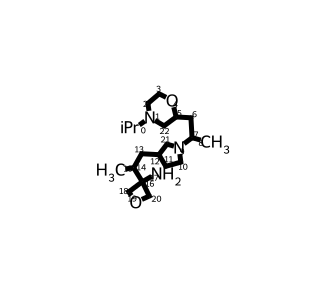 CC(C)N1CCOC(CC(C)N2CCC(CC(C)C3(N)COC3)C2)C1